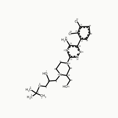 CC(C)(C)OCC(O)CN1CCN(c2nnc(-c3cccc(Cl)c3Cl)c(N)n2)CC1CO